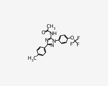 CC(=O)Nc1nc(-c2ccc(C)cc2)nn1-c1ccc(OC(F)(F)F)cc1